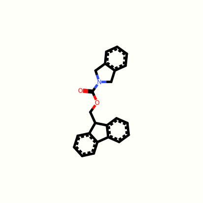 O=C(OCC1c2ccccc2-c2ccccc21)N1Cc2ccccc2C1